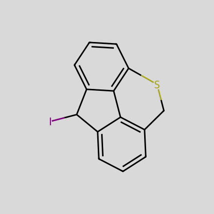 IC1c2cccc3c2-c2c(cccc21)SC3